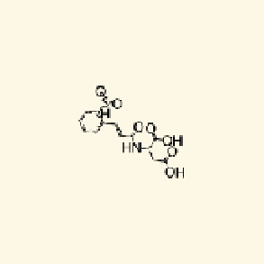 O=C(O)C[C@@H](NC(=O)/C=C/c1ccccc1[SH](=O)=O)C(=O)O